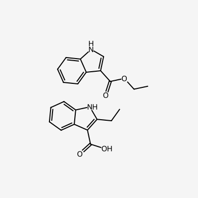 CCOC(=O)c1c[nH]c2ccccc12.CCc1[nH]c2ccccc2c1C(=O)O